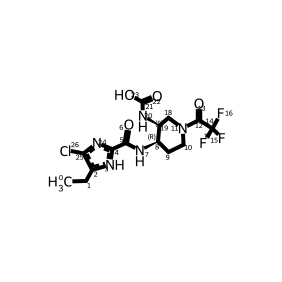 CCc1[nH]c(C(=O)N[C@@H]2CCN(C(=O)C(F)(F)F)C[C@@H]2NC(=O)O)nc1Cl